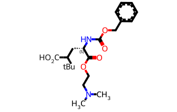 CN(C)CCOC(=O)[C@H](CC(C(=O)O)C(C)(C)C)NC(=O)OCc1ccccc1